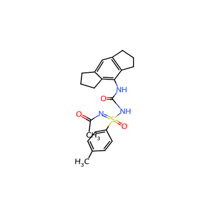 CC(=O)N=S(=O)(NC(=O)Nc1c2c(cc3c1CCC3)CCC2)c1ccc(C)cc1